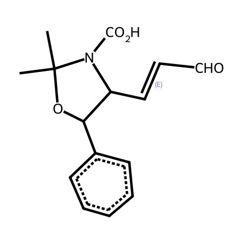 CC1(C)OC(c2ccccc2)C(/C=C/C=O)N1C(=O)O